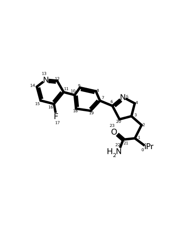 CC(C)C(CC1CN=C(c2ccc(-c3cnccc3F)cc2)C1)C(N)=O